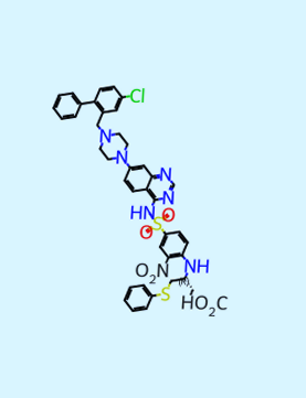 O=C(O)C[C@H](CSc1ccccc1)Nc1ccc(S(=O)(=O)Nc2ncnc3cc(N4CCN(Cc5cc(Cl)ccc5-c5ccccc5)CC4)ccc23)cc1[N+](=O)[O-]